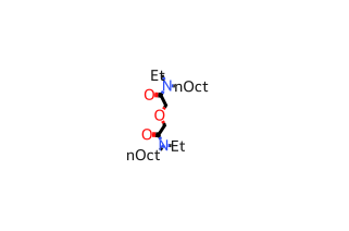 CCCCCCCCN(CC)C(=O)COCC(=O)N(CC)CCCCCCCC